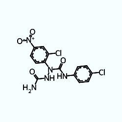 NC(=O)NN(C(=O)Nc1ccc(Cl)cc1)c1ccc([N+](=O)[O-])cc1Cl